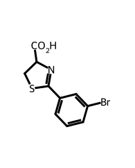 O=C(O)C1CSC(c2cccc(Br)c2)=N1